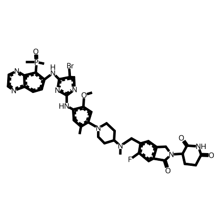 COc1cc(N2CCC(N(C)Cc3cc4c(cc3F)C(=O)N(C3CCC(=O)NC3=O)C4)CC2)c(C)cc1Nc1ncc(Br)c(Nc2ccc3nccnc3c2P(C)(C)=O)n1